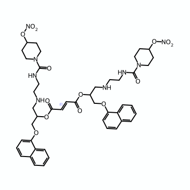 O=C(/C=C/C(=O)OC(CNCCNC(=O)N1CCC(O[N+](=O)[O-])CC1)COc1cccc2ccccc12)OC(CNCCNC(=O)N1CCC(O[N+](=O)[O-])CC1)COc1cccc2ccccc12